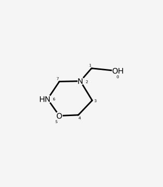 OCN1CCONC1